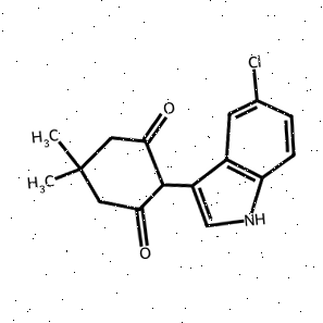 CC1(C)CC(=O)C(c2c[nH]c3ccc(Cl)cc23)C(=O)C1